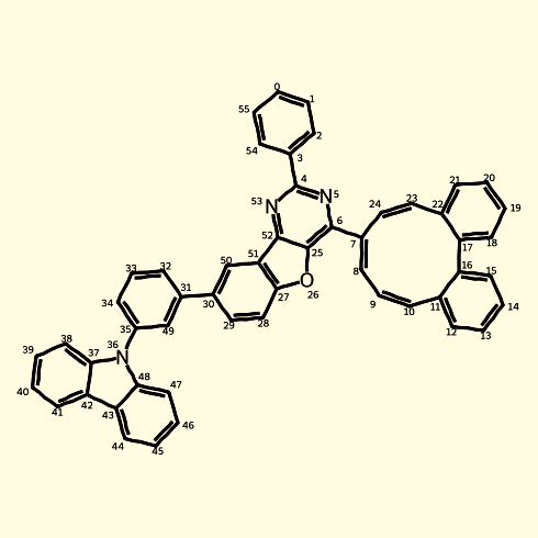 c1ccc(-c2nc(-c3cccc4ccccc4c4ccccc4cc3)c3oc4ccc(-c5cccc(-n6c7ccccc7c7ccccc76)c5)cc4c3n2)cc1